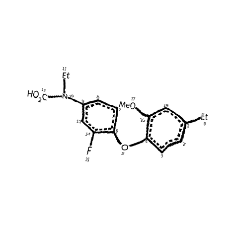 CCc1ccc(Oc2ccc(N(CC)C(=O)O)cc2F)c(OC)c1